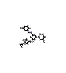 O=C1CN(c2nc(/C=C/c3cccc(F)c3)nc(Nc3cc(C4CC4)[nH]n3)n2)CCN1